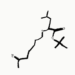 CC(C)CC(SCCCCCC(C)F)C(=O)OC(C)(C)C